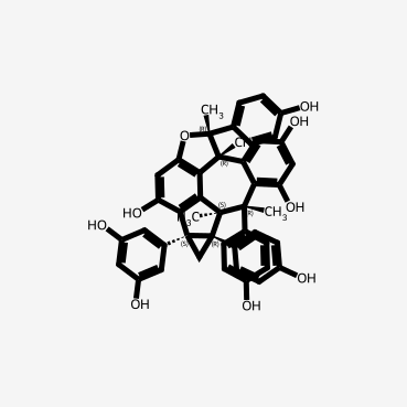 C[C@]1(c2ccc(O)cc2)c2c(O)cc(O)cc2[C@]2(C)c3c(cc(O)c4c3[C@]1(C)[C@]1(c3ccc(O)cc3)C[C@@]41c1cc(O)cc(O)c1)O[C@]2(C)c1ccc(O)cc1